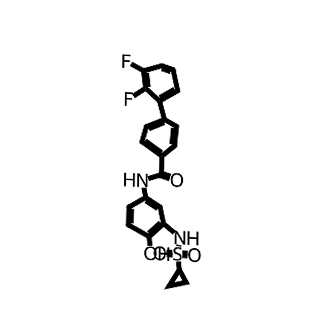 O=C(Nc1ccc(O)c(NS(=O)(=O)C2CC2)c1)c1ccc(-c2cccc(F)c2F)cc1